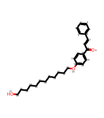 O=C(C=Cc1ccccc1)c1ccc(OCCCCCCCCCCCCO)cc1